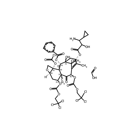 CC(=O)O[C@@]12CO[C@@H]1C[C@H](OC(=O)OCC(Cl)(Cl)Cl)[C@@]1(C)C(=O)[C@H](OC(=O)OCC(Cl)(Cl)Cl)C3=C(C)[C@@H](OC(=O)C(O)C(N)C4CC4)C[C@@](O)([C@@H](OC(=O)c4ccccc4)[C@H]21)C3(C)C.O=CO